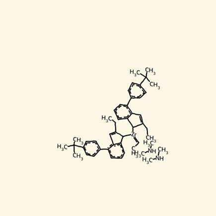 CNC.CNC.C[CH]=[Zr]([CH]1C(CC)=Cc2c(-c3ccc(C(C)(C)C)cc3)cccc21)[CH]1C(CC)=Cc2c(-c3ccc(C(C)(C)C)cc3)cccc21